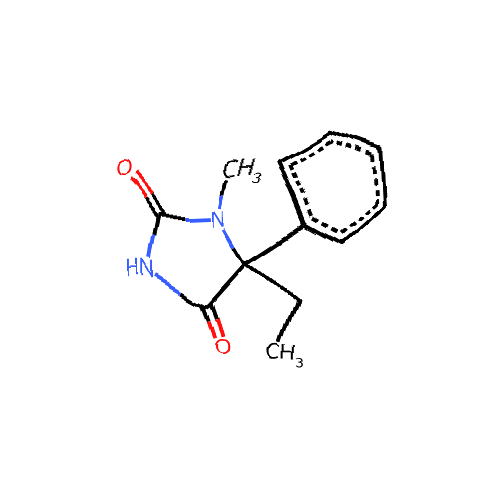 CCC1(c2ccccc2)C(=O)NC(=O)N1C